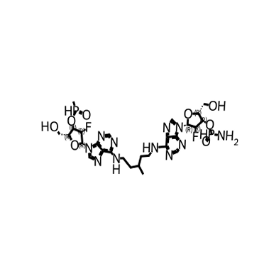 CC(CCNc1ncnc2c1ncn2[C@@H]1O[C@H](CO)[C@@H](O[PH](C)=O)[C@H]1F)CCNc1ncnc2c1ncn2[C@@H]1O[C@H](CO)[C@@H](O[PH](N)=O)[C@H]1F